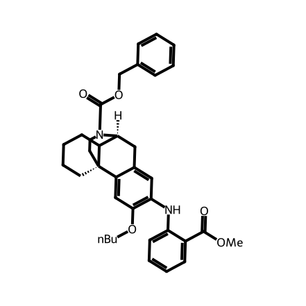 CCCCOc1cc2c(cc1Nc1ccccc1C(=O)OC)C[C@H]1C3CCCC[C@@]23CCN1C(=O)OCc1ccccc1